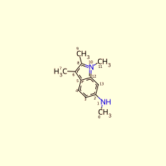 CNc1ccc2c(C)c(C)n(C)c2c1